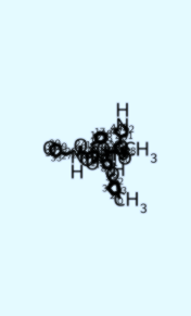 Cc1ccc(CO[C@@H]2C[C@@H](C(=O)N[C@@H](Cc3ccccc3)C(=O)C(=O)NCCC3CCOCC3)N(C(=O)[C@@H](CCC3CCNCC3)NS(C)(=O)=O)C2)cc1